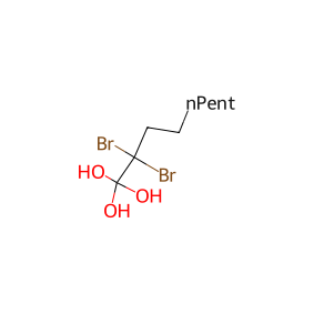 CCCCCCCC(Br)(Br)C(O)(O)O